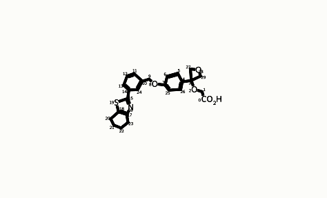 O=C(O)COC1(c2ccc(OCc3cccc(-c4nc5c(s4)CCCC5)c3)cc2)COC1